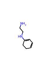 NCCNC1=CC=CCC1